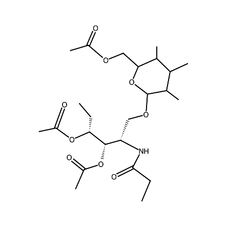 CCC(=O)N[C@@H](COC1OC(COC(C)=O)C(C)C(C)C1C)[C@H](OC(C)=O)[C@@H](CC)OC(C)=O